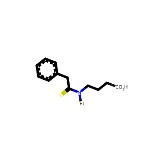 CCN(CCCC(=O)O)C(=S)Cc1ccccc1